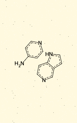 Nc1ccncc1.c1cc2[nH]ccc2cn1